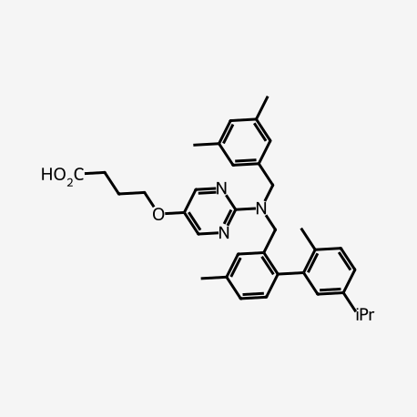 Cc1cc(C)cc(CN(Cc2cc(C)ccc2-c2cc(C(C)C)ccc2C)c2ncc(OCCCC(=O)O)cn2)c1